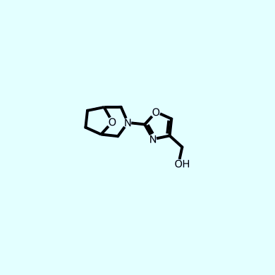 OCc1coc(N2CC3CCC(C2)O3)n1